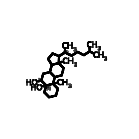 CC(C)CCC[C@@H](C)C1CCC2C3C[C@H](O)[C@@]4(O)CCCCC4(C)C3CCC21C